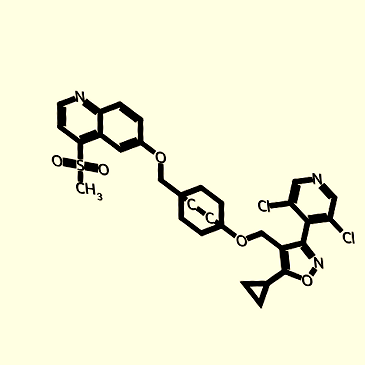 CS(=O)(=O)c1ccnc2ccc(OCC34CCC(OCc5c(-c6c(Cl)cncc6Cl)noc5C5CC5)(CC3)CC4)cc12